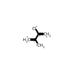 C=C(C)C(=C)Cl